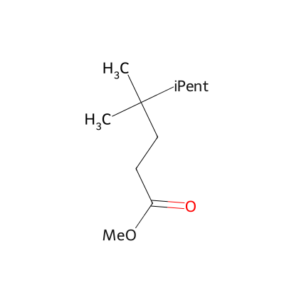 CCCC(C)C(C)(C)CCC(=O)OC